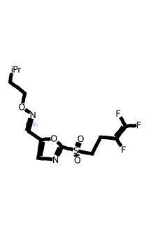 CC(C)CCO/N=C/c1cnc(S(=O)(=O)CCC(F)=C(F)F)o1